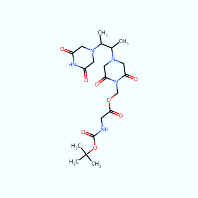 CC(C(C)N1CC(=O)N(COC(=O)CNC(=O)OC(C)(C)C)C(=O)C1)N1CC(=O)NC(=O)C1